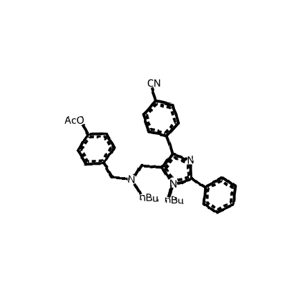 CCCCN(Cc1ccc(OC(C)=O)cc1)Cc1c(-c2ccc(C#N)cc2)nc(-c2ccccc2)n1CCCC